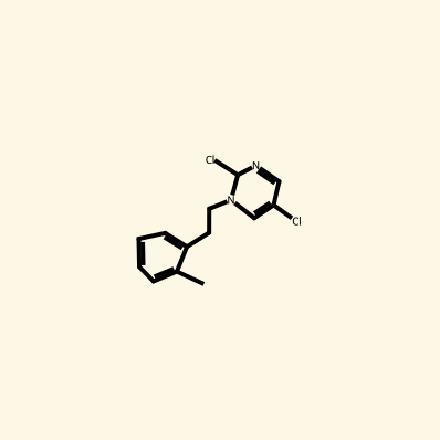 Cc1ccccc1CCN1C=C(Cl)C=NC1Cl